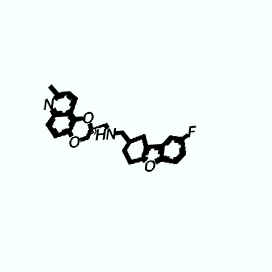 Cc1ccc2c3c(ccc2n1)OC[C@H](CNCC1CCc2oc4ccc(F)cc4c2C1)O3